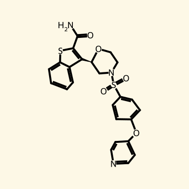 NC(=O)c1sc2ccccc2c1[C@@H]1CN(S(=O)(=O)c2ccc(Oc3ccncc3)cc2)CCO1